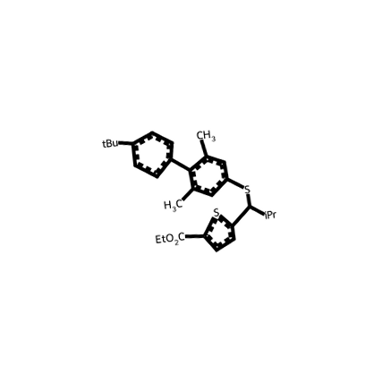 CCOC(=O)c1ccc(C(Sc2cc(C)c(-c3ccc(C(C)(C)C)cc3)c(C)c2)C(C)C)s1